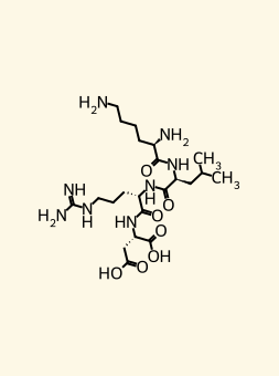 CC(C)C[C@H](NC(=O)[C@H](N)CCCCN)C(=O)N[C@@H](CCCNC(=N)N)C(=O)N[C@@H](CC(=O)O)C(=O)O